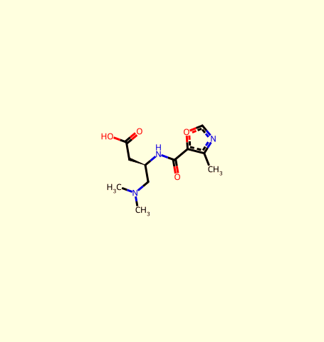 Cc1ncoc1C(=O)N[C@H](CC(=O)O)CN(C)C